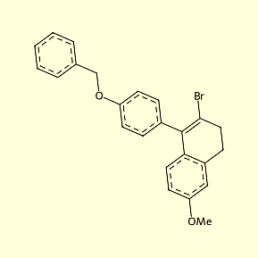 COc1ccc2c(c1)CCC(Br)=C2c1ccc(OCc2ccccc2)cc1